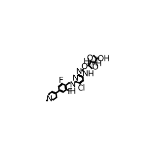 CN1CC=C(c2cc(F)c(CNc3nc4nc(O[C@@H]5CO[C@H]6[C@@H]5OC[C@H]6O)[nH]c4cc3Cl)c(F)c2)CC1